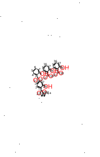 O=C([O-])c1ccccc1O.O=C([O-])c1ccccc1O.O=C([O-])c1ccccc1O.O=C([O-])c1ccccc1O.[W+4]